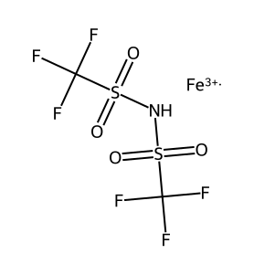 O=S(=O)(NS(=O)(=O)C(F)(F)F)C(F)(F)F.[Fe+3]